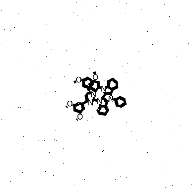 COc1cc(OC)cc(-c2cc(-c3cc(OC)cc(OC)c3)nc(-n3c4ccccc4c4c3c3c(c5ccccc5n3-c3ccccc3)n4-c3ccccc3)n2)c1